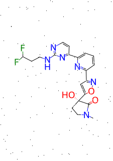 CN1CC[C@@](O)(c2cc(-c3cccc(-c4ccnc(NCCC(F)F)n4)n3)no2)C1=O